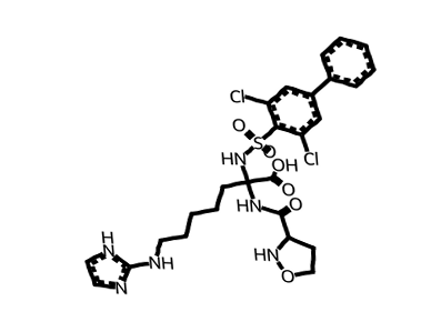 O=C(NC(CCCCCNc1ncc[nH]1)(NS(=O)(=O)c1c(Cl)cc(-c2ccccc2)cc1Cl)C(=O)O)C1CCON1